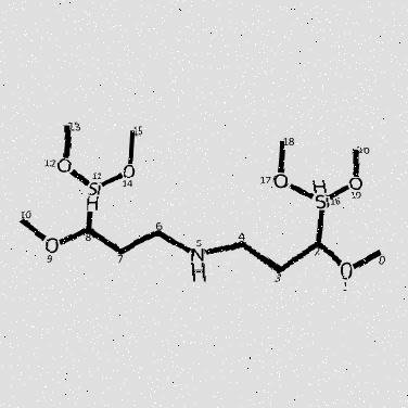 COC(CCNCCC(OC)[SiH](OC)OC)[SiH](OC)OC